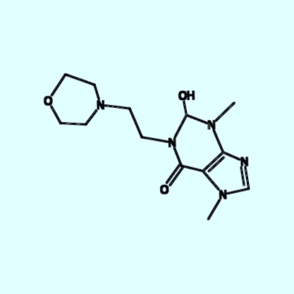 CN1c2ncn(C)c2C(=O)N(CCN2CCOCC2)C1O